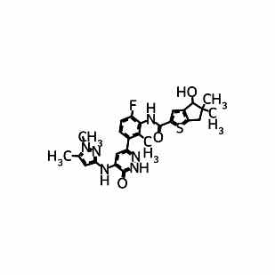 Cc1c(-c2cc(Nc3cc(C)n(C)n3)c(=O)[nH]n2)ccc(F)c1NC(=O)c1cc2c(s1)CC(C)(C)C2O